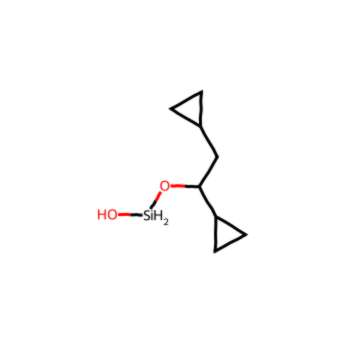 O[SiH2]OC(CC1CC1)C1CC1